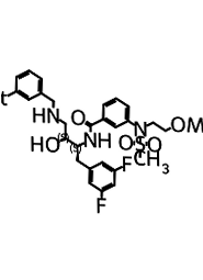 CCc1cccc(CNC[C@H](O)[C@H](Cc2cc(F)cc(F)c2)NC(=O)c2cccc(N(CCOC)S(C)(=O)=O)c2)c1